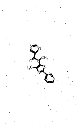 Cc1nc(-c2cccnc2)sc1N(C)C(=O)c1cnco1